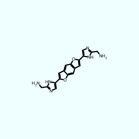 NCc1ncc(-c2cc3cc4oc(-c5cnc(CN)[nH]5)cc4cc3o2)[nH]1